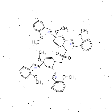 COc1ccccc1/C=C/C1=CC(/C=C/c2ccccc2OC)(OC)C=CC1CS(=O)(=O)CC1C=CC(/C=C/c2ccccc2OC)(OC)C=C1/C=C/c1ccccc1OC